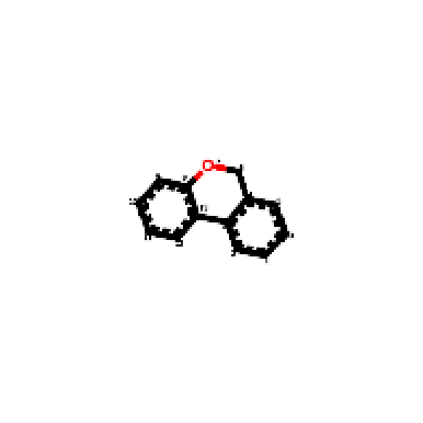 c1ccc2c(c1)COc1ccccc1-2